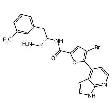 NC[C@H](Cc1cccc(C(F)(F)F)c1)NC(=O)c1cc(Br)c(-c2ccnc3[nH]ccc23)o1